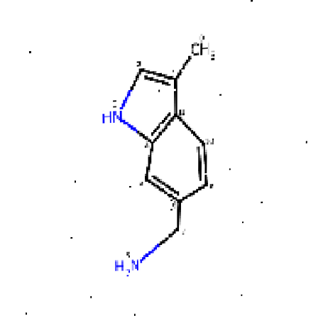 Cc1c[nH]c2cc(CN)ccc12